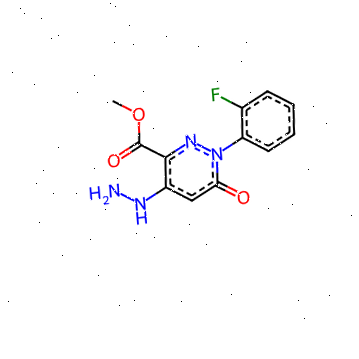 COC(=O)c1nn(-c2ccccc2F)c(=O)cc1NN